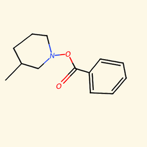 CC1CCCN(OC(=O)c2ccccc2)C1